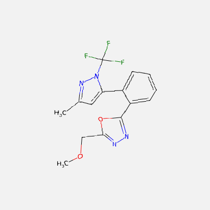 COCc1nnc(-c2ccccc2-c2cc(C)nn2C(F)(F)F)o1